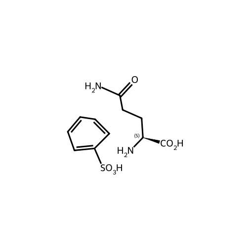 NC(=O)CC[C@H](N)C(=O)O.O=S(=O)(O)c1ccccc1